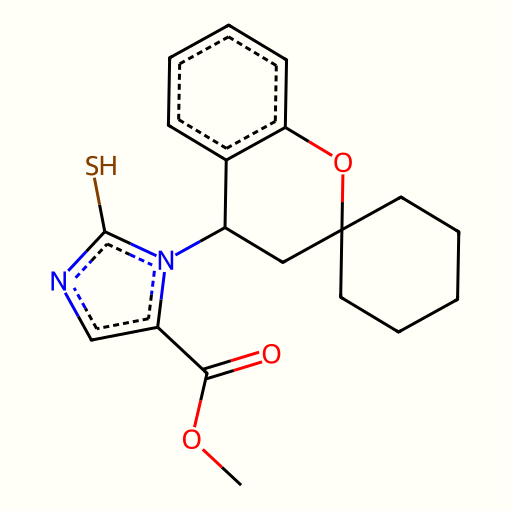 COC(=O)c1cnc(S)n1C1CC2(CCCCC2)Oc2ccccc21